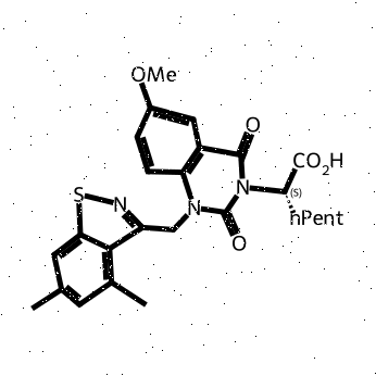 CCCCC[C@@H](C(=O)O)n1c(=O)c2cc(OC)ccc2n(Cc2nsc3cc(C)cc(C)c23)c1=O